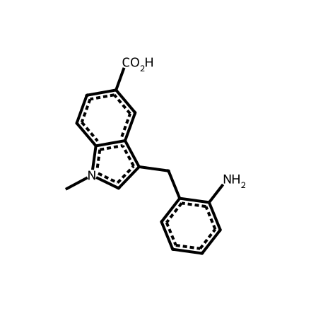 Cn1cc(Cc2ccccc2N)c2cc(C(=O)O)ccc21